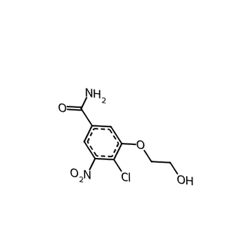 NC(=O)c1cc(OCCO)c(Cl)c([N+](=O)[O-])c1